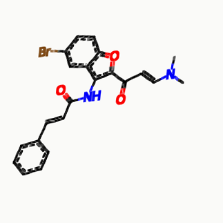 CN(C)C=CC(=O)c1oc2ccc(Br)cc2c1NC(=O)C=Cc1ccccc1